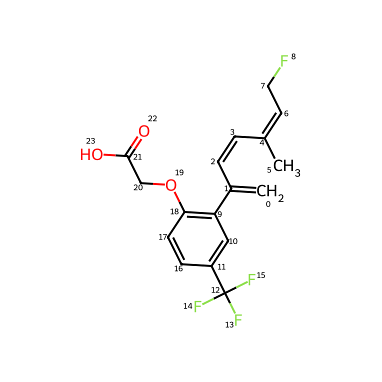 C=C(/C=C\C(C)=C/CF)c1cc(C(F)(F)F)ccc1OCC(=O)O